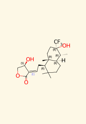 C[C@@H]1[C@H]2CCC(C)(C)[C@@H](C/C=C3/C(=O)OC[C@H]3O)[C@]2(C)CC[C@]1(O)C(F)(F)F